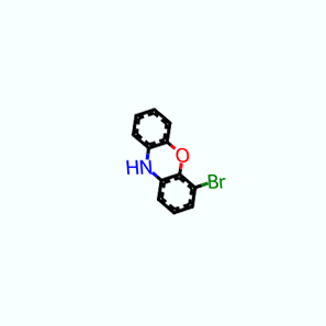 Brc1cccc2c1Oc1ccccc1N2